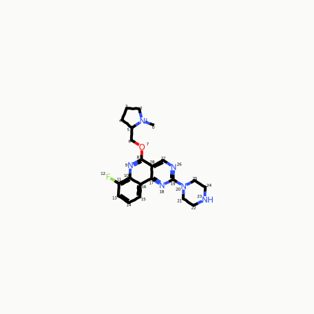 CN1CCCC1COc1nc2c(F)cccc2c2nc(N3CCNCC3)ncc12